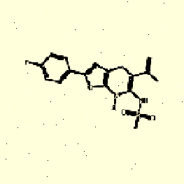 C=C(C)C1=C(NS(C)(=O)=O)N(C)c2oc(-c3ccc(F)cc3)cc2C1